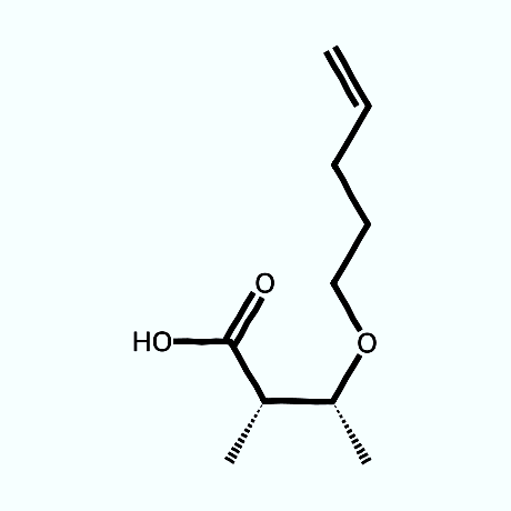 C=CCCCO[C@H](C)[C@H](C)C(=O)O